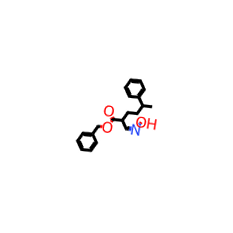 CC(CCC(/C=N\O)C(=O)OCc1ccccc1)c1ccccc1